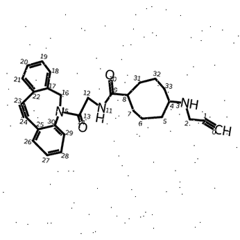 C#CCNC1CCCC(C(=O)NCC(=O)N2Cc3ccccc3C#Cc3ccccc32)CCC1